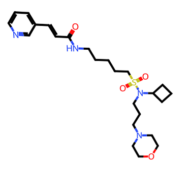 O=C(/C=C/c1cccnc1)NCCCCCS(=O)(=O)N(CCCN1CCOCC1)C1CCC1